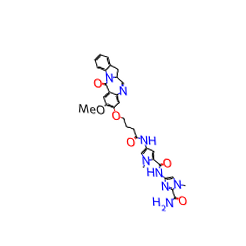 COc1cc2c(cc1OCCCC(=O)Nc1cc(C(=O)Nc3cn(C)c(C(N)=O)n3)n(C)c1)N=CC1Cc3ccccc3N1C2=O